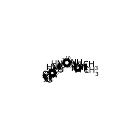 CN(C)c1ccnc(N[C@H]2CC[C@@H](NC(=O)Nc3ccc4c(c3)OCCO4)CC2)n1